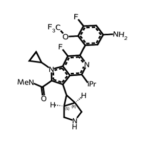 CNC(=O)c1c(C2[C@H]3CNC[C@@H]23)c2c(C(C)C)nc(-c3cc(N)cc(F)c3OC(F)(F)F)c(F)c2n1C1CC1